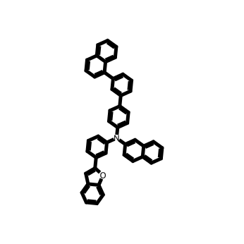 c1cc(-c2ccc(N(c3cccc(-c4cc5ccccc5o4)c3)c3ccc4ccccc4c3)cc2)cc(-c2cccc3ccccc23)c1